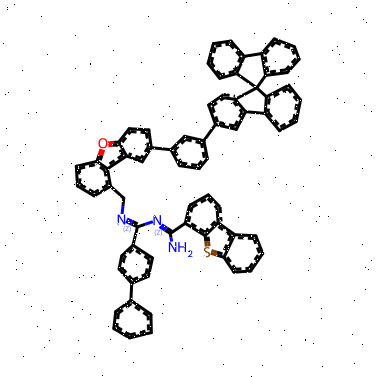 N/C(=N\C(=N/Cc1cccc2oc3ccc(-c4cccc(-c5ccc6c(c5)-c5ccccc5C65c6ccccc6-c6ccccc65)c4)cc3c12)c1ccc(-c2ccccc2)cc1)c1cccc2c1sc1ccccc12